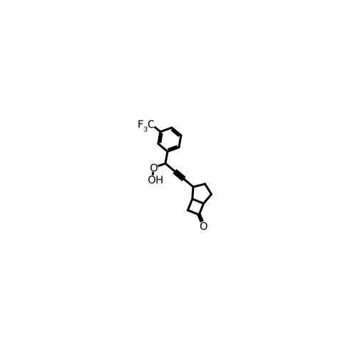 O=C1CC2C(C#CC(OO)c3cccc(C(F)(F)F)c3)CCC12